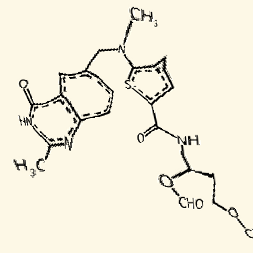 Cc1nc2ccc(CN(C)c3ccc(C(=O)N[C@@H](CCOC=O)OC=O)s3)cc2c(=O)[nH]1